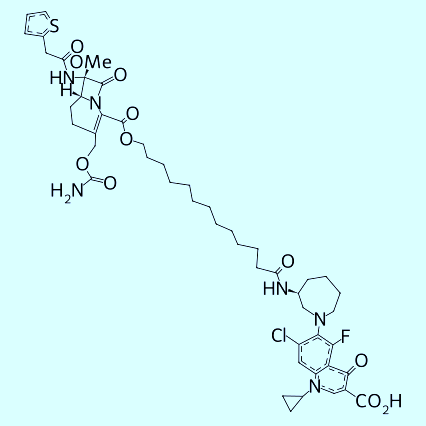 CO[C@@]1(NC(=O)Cc2cccs2)C(=O)N2C(C(=O)OCCCCCCCCCCCCC(=O)N[C@H]3CCCCN(c4c(Cl)cc5c(c4F)c(=O)c(C(=O)O)cn5C4CC4)C3)=C(COC(N)=O)CC[C@@H]21